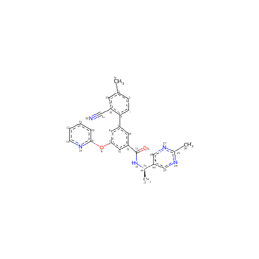 Cc1ccc(-c2cc(Oc3ccccn3)cc(C(=O)N[C@H](C)c3cnc(C)nc3)c2)c(C#N)c1